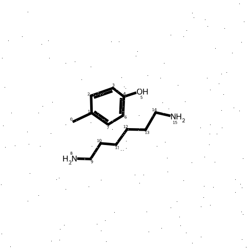 Cc1ccc(O)cc1.NCCCCCCN